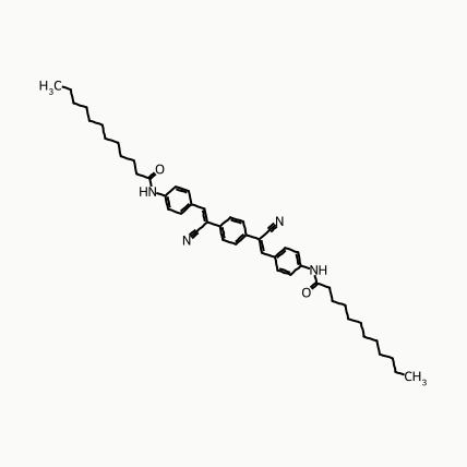 CCCCCCCCCCCC(=O)Nc1ccc(C=C(C#N)c2ccc(C(C#N)=Cc3ccc(NC(=O)CCCCCCCCCCC)cc3)cc2)cc1